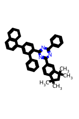 CC1(C)CC(C)(C)c2cc(-c3nc(-c4ccccc4)nc(-c4ccc(-c5cccc6c5CCC=C6)cc4-c4ccccc4)n3)ccc21